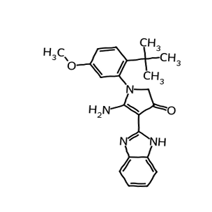 COc1ccc(C(C)(C)C)c(N2CC(=O)C(c3nc4ccccc4[nH]3)=C2N)c1